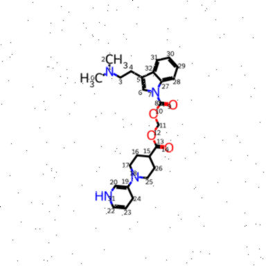 CN(C)CCc1cn(C(=O)OCOC(=O)C2CCN(C3=CNC=CC3)CC2)c2ccccc12